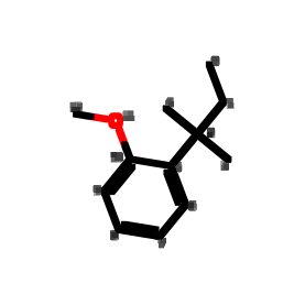 CCC(C)(C)c1ccccc1OC